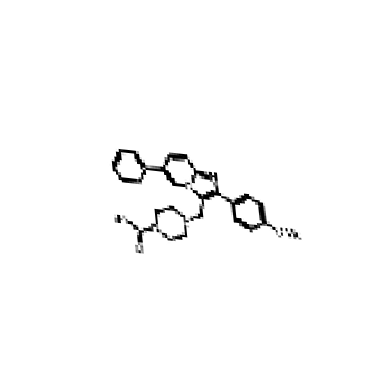 COc1ccc(-c2nc3ccc(-c4ccccc4)cn3c2CN2CCN(C(=O)C(C)C)CC2)cc1